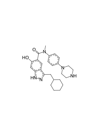 CN(C(=O)c1cc2c(CC3CCCCC3)n[nH]c2cc1O)c1ccc(N2CCNCC2)cc1